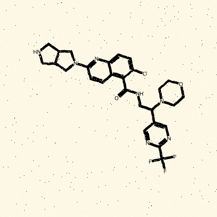 O=C(NCC(c1cnc(C(F)(F)F)nc1)N1CCOCC1)c1c(Cl)ccc2nc(N3CC4CNCC4C3)ccc12